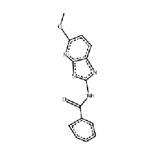 COc1ccc2nc(NC(=O)c3ccccc3)sc2n1